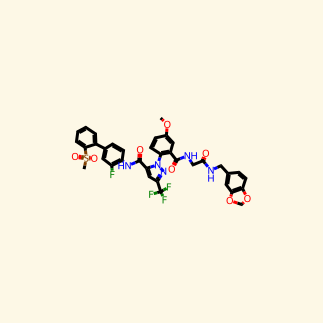 COc1ccc(-n2nc(C(F)(F)F)cc2C(=O)Nc2ccc(-c3ccccc3S(C)(=O)=O)cc2F)c(C(=O)NCC(=O)NCc2ccc3c(c2)OCO3)c1